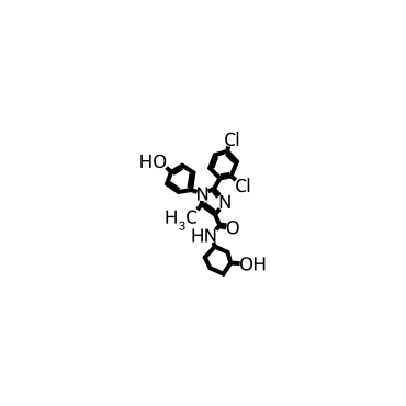 Cc1c(C(=O)NC2CCCC(O)C2)nc(-c2ccc(Cl)cc2Cl)n1-c1ccc(O)cc1